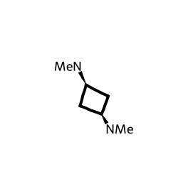 CN[C@H]1C[C@@H](NC)C1